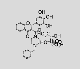 O.O.O=C(O)C(O)C(O)C(=O)O.O=C(c1c(-c2cc(O)c(O)c(O)c2)oc2ccccc2c1=O)N1CCN(Cc2ccccc2)CC1